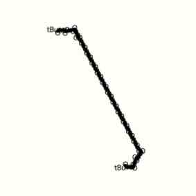 CC(C)(C)C(=O)CCCC(=O)OCCOC(=O)CCCC(=O)OCCOCCOCCOCCOCCOCCOCCOCCOCCOCCOCCOCCOCCOCCOCCOCCOCCOCCOCCOCCOCCOCCOCCOC(=O)CCCC(=O)OCCOC(=O)CCCC(=O)C(C)(C)C